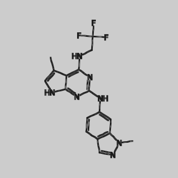 Cc1c[nH]c2nc(Nc3ccc4cnn(C)c4c3)nc(NCC(F)(F)F)c12